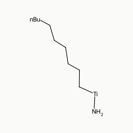 CCCCCCCCC[CH2][Ti][NH2]